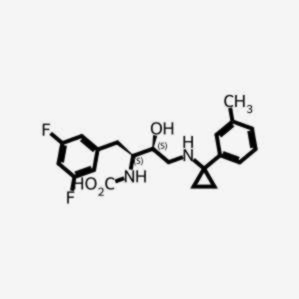 Cc1cccc(C2(NC[C@H](O)[C@H](Cc3cc(F)cc(F)c3)NC(=O)O)CC2)c1